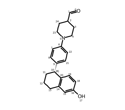 O=CC1CCN(c2ccc([C@H]3CCCc4cc(O)ccc43)cc2)CC1